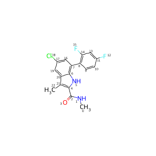 CNC(=O)c1[nH]c2c(-c3ccc(F)cc3F)cc(Cl)cc2c1C